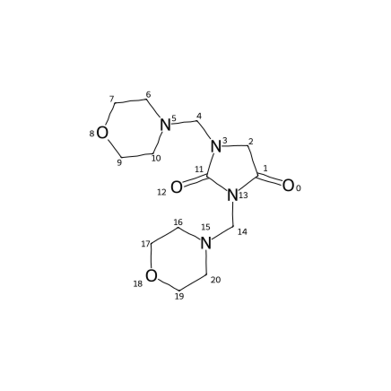 O=C1CN(CN2CCOCC2)C(=O)N1CN1CCOCC1